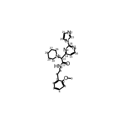 COc1ccccc1CCNC(=O)C(c1ccnc(-n2ccnc2)n1)N1CCCCC1